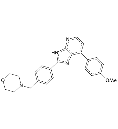 COc1ccc(-c2ccnc3[nH]c(-c4ccc(CN5CCOCC5)cc4)nc23)cc1